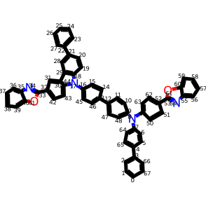 c1ccc(-c2ccc(N(c3ccc(-c4ccc(-n5c6ccc(-c7ccccc7)cc6c6cc(-c7nc8ccccc8o7)ccc65)cc4)cc3)c3ccc(-c4nc5ccccc5o4)cc3)cc2)cc1